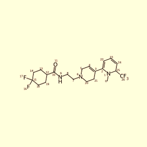 CN1C(C2=CCN(CCNC(=O)C3CCC(F)(F)CC3)CC2)=CC=CC1C(F)(F)F